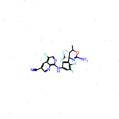 CC1OC(N)=N[C@](c2cc(Nc3ncc(F)c4cc(C#N)cnc34)cc(F)c2F)(C(F)F)[C@@H]1C